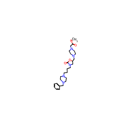 COC(=O)CN1CCN(CC2CN(CCCCN3CCN(Cc4ccccc4)CC3)C(=O)O2)CC1